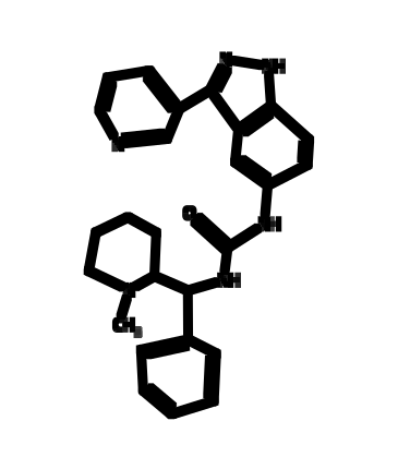 CN1CCCCC1C(NC(=O)Nc1ccc2[nH]nc(-c3cccnc3)c2c1)c1ccccc1